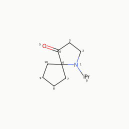 CC(C)N1CCC(=O)C12CCCC2